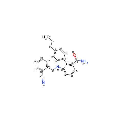 CCCc1c[c]c2c3c(C(N)=O)cccc3n(Cc3ccccc3C#N)c2c1